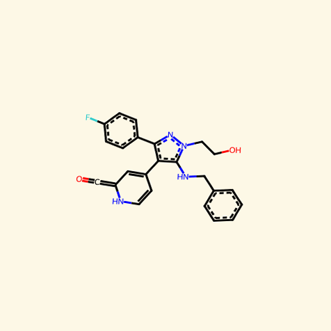 O=C=C1C=C(c2c(-c3ccc(F)cc3)nn(CCO)c2NCc2ccccc2)C=CN1